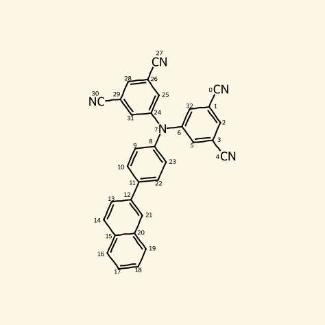 N#Cc1cc(C#N)cc(N(c2ccc(-c3ccc4ccccc4c3)cc2)c2cc(C#N)cc(C#N)c2)c1